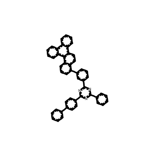 c1ccc(-c2ccc(-c3nc(-c4ccccc4)nc(-c4cccc(-c5cccc6c5ccc5c7ccccc7c7ccccc7c65)c4)n3)cc2)cc1